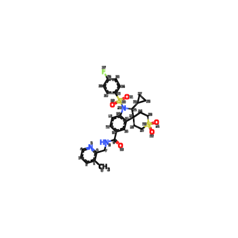 Cc1cccnc1CNC(=O)c1ccc2c(c1)C1(CCS(=O)(=O)CC1)C(C1CC1)N2S(=O)(=O)c1ccc(F)cc1